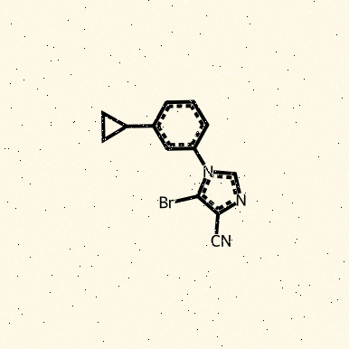 N#Cc1ncn(-c2cccc(C3CC3)c2)c1Br